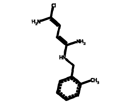 Cc1ccccc1CN/C(N)=C/C=C(\N)Cl